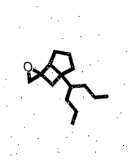 CCCC(CCC)C12CCCC1C1(CO1)C2